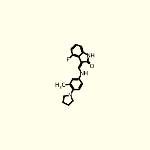 Cc1cc(NC=C2C(=O)Nc3cccc(F)c32)ccc1N1CCCC1